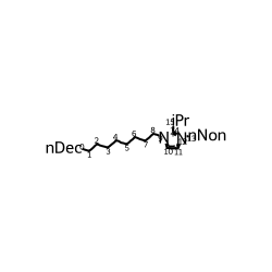 CCCCCCCCCCCCCCCCCC[n+]1ccn(CCCCCCCCC)c1C(C)C